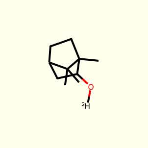 [2H]OC1CC2CCC1(C)C2(C)C